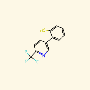 FC(F)(F)c1ccc(-c2ccccc2S)cn1